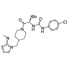 CN=c1sccn1CC1CCN(C(=O)[C@H](NC(=O)Nc2ccc(Cl)cc2)C(C)(C)C)CC1